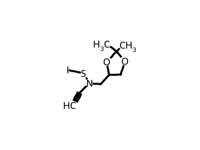 C#CN(CC1COC(C)(C)O1)SI